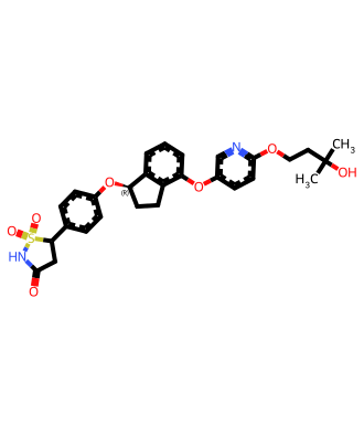 CC(C)(O)CCOc1ccc(Oc2cccc3c2CC[C@H]3Oc2ccc(C3CC(=O)NS3(=O)=O)cc2)cn1